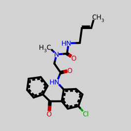 CC=CCNC(=O)N(C)CC(=O)Nc1ccc(Cl)cc1C(=O)c1ccccc1